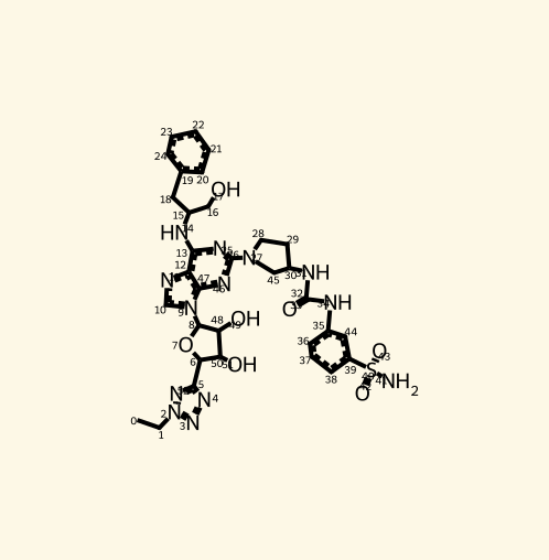 CCn1nnc(C2OC(n3cnc4c(NC(CO)Cc5ccccc5)nc(N5CCC(NC(=O)Nc6cccc(S(N)(=O)=O)c6)C5)nc43)C(O)C2O)n1